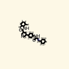 Cc1cccc(C)c1NC(=O)c1cncc(-c2ccc(NC(=O)/C=C/c3ccccc3)cc2)c1